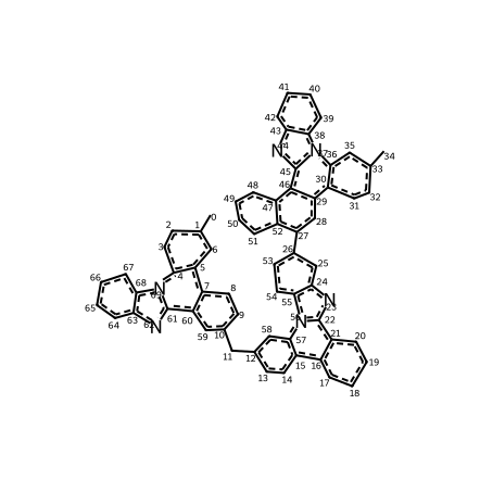 Cc1ccc2c(c1)c1ccc(Cc3ccc4c5ccccc5c5nc6cc(-c7cc8c9ccc(C)cc9n9c%10ccccc%10nc9c8c8ccccc78)ccc6n5c4c3)cc1c1nc3ccccc3n21